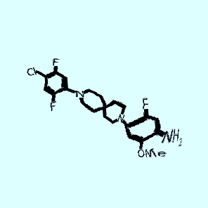 COc1cc(N2CCC3(CCN(c4cc(F)c(Cl)cc4F)CC3)CC2)c(F)cc1N